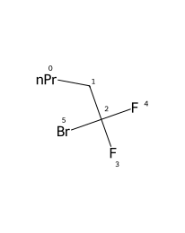 CCCCC(F)(F)Br